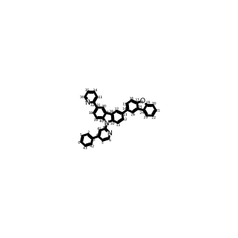 c1ccc(-c2ccnc(-n3c4ccc(-c5ccc6oc7ccccc7c6c5)cc4c4cc(-c5ccccn5)ccc43)c2)cc1